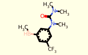 CBc1cc(N(C)C(=O)N(C)C)cc(C(F)(F)F)c1